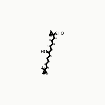 CC1(CCCCCC(O)CCCCCC2(C=O)CC2)CC1